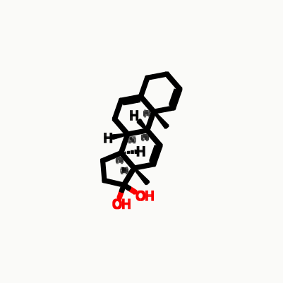 C[C@]12C=CCCC1=CC[C@@H]1[C@H]2C=C[C@@]2(C)[C@H]1CCC2(O)O